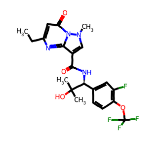 CCc1cc(=O)n2c(n1)c(C(=O)N[C@@H](c1ccc(OC(F)(F)F)c(F)c1)C(C)(C)O)cn2C